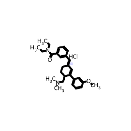 CCN(CC)C(=O)c1cccc(/C=C2/C=C(c3cccc(OC)c3)C(CN(C)C)CC2)c1.Cl